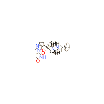 [2H]C1([2H])N(CC#Cc2cccc3nc(C)n(C4CCC(=O)NC4=O)c(=O)c23)C([2H])([2H])C([2H])([2H])N(CCC23CC4CC(CC(C4)C2)C3)C1([2H])[2H]